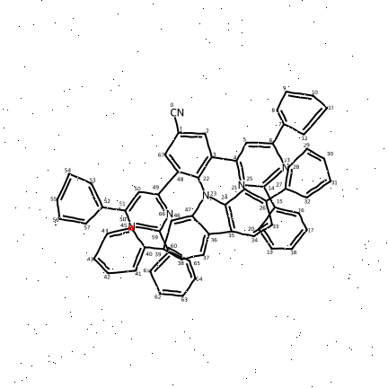 N#Cc1cc(-c2cc(-c3ccccc3)nc(-c3ccccc3)n2)c(-n2c3cc(-c4ccccc4)ccc3c3ccc(-c4ccccc4)cc32)c(-c2cc(-c3ccccc3)nc(-c3ccccc3)n2)c1